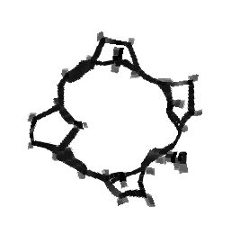 C1=C2CCC(=N2)C=C2CCC(N2)C2CCC(=N2)C=C2CCC1=N2.O